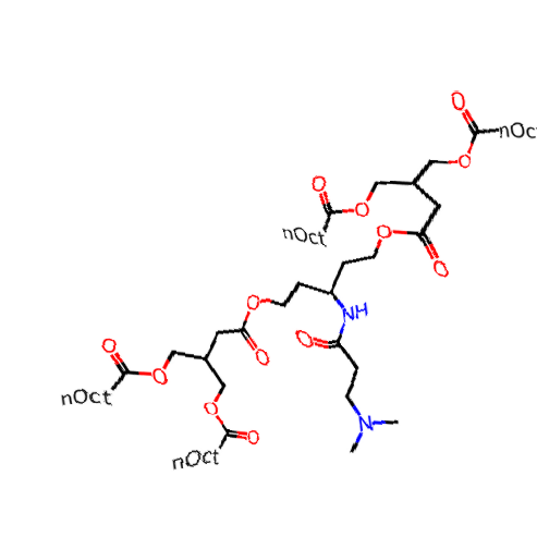 CCCCCCCCC(=O)OCC(COC(=O)CCCCCCCC)CC(=O)OCCC(CCOC(=O)CC(COC(=O)CCCCCCCC)COC(=O)CCCCCCCC)NC(=O)CCN(C)C